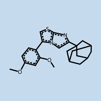 COc1ccc(-c2csc3nc(C45CC6CC(CC(C6)C4)C5)cn23)c(OC)c1